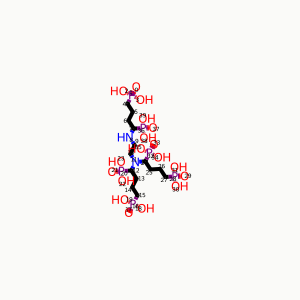 O=P(O)(O)CCCC(NCCN(C(CCCP(=O)(O)O)P(=O)(O)O)C(CCCP(=O)(O)O)P(=O)(O)O)P(=O)(O)O